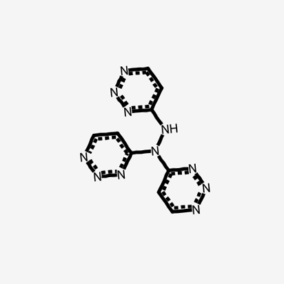 c1cc(NN(c2ccnnn2)c2ccnnn2)nnn1